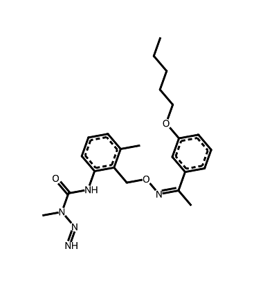 CCCCCOc1cccc(/C(C)=N\OCc2c(C)cccc2NC(=O)N(C)N=N)c1